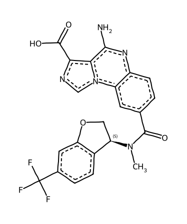 CN(C(=O)c1ccc2nc(N)c3c(C(=O)O)ncn3c2c1)[C@@H]1COc2cc(C(F)(F)F)ccc21